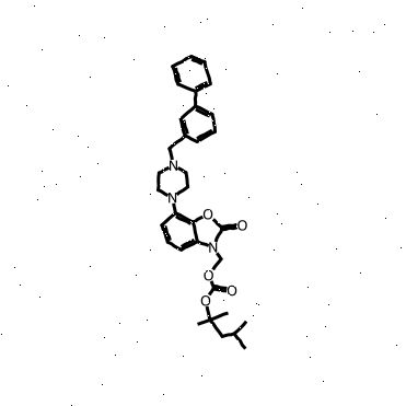 CC(C)CC(C)(C)OC(=O)OCn1c(=O)oc2c(N3CCN(Cc4cccc(-c5ccccc5)c4)CC3)cccc21